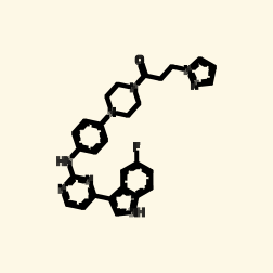 O=C(CCn1cccn1)N1CCN(c2ccc(Nc3nccc(-c4c[nH]c5ccc(F)cc45)n3)cc2)CC1